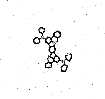 c1ccc(N(c2ccccc2)c2cc3c4c(c2)c2cc5c(cc2n4Cc2ccccc2-3)c2cc(N(c3ccccc3)c3ccccc3)cc3c2n5Cc2ccccc2-3)cc1